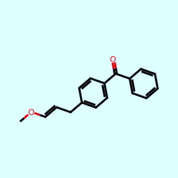 COC=CCc1ccc(C(=O)c2ccccc2)cc1